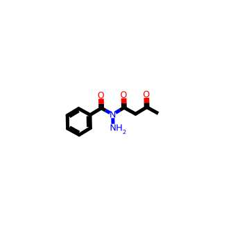 CC(=O)CC(=O)N(N)C(=O)c1ccccc1